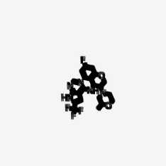 CC1CN(C2COc3cc(F)ccc3C2Nc2ncnc3[nH]c(C(F)(F)F)cc23)CCO1